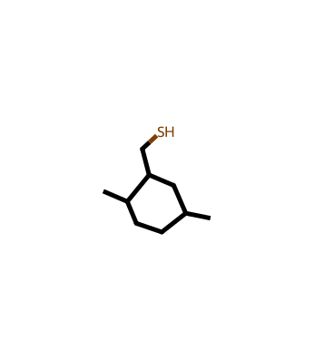 CC1CCC(C)C(CS)C1